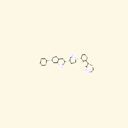 Fc1ccc(-c2ccc3cc(-c4ccc(-c5cccc6c5sc5ncccc56)nc4)cnc3c2)cc1